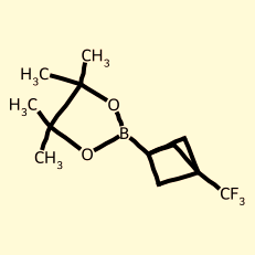 CC1(C)OB(C23CC(C(F)(F)F)(C2)C3)OC1(C)C